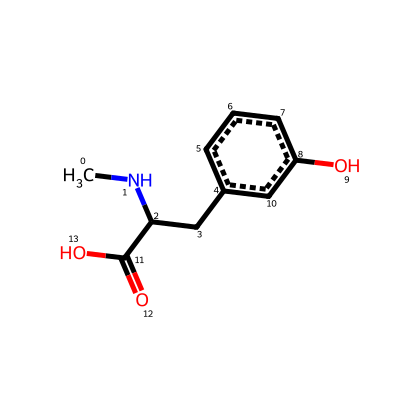 CNC(Cc1cccc(O)c1)C(=O)O